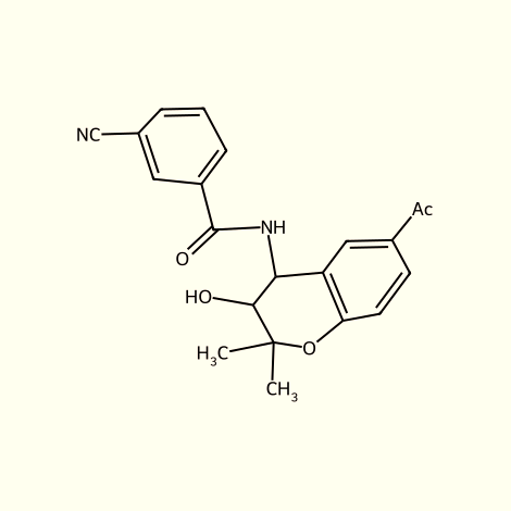 CC(=O)c1ccc2c(c1)C(NC(=O)c1cccc(C#N)c1)C(O)C(C)(C)O2